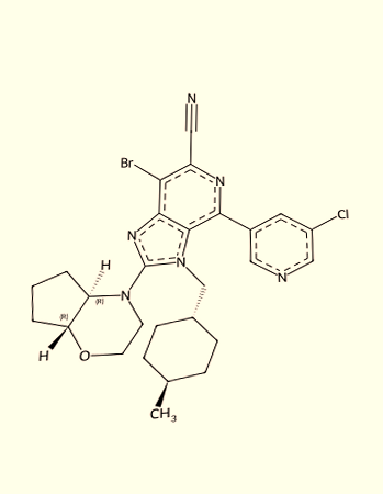 C[C@H]1CC[C@H](Cn2c(N3CCO[C@@H]4CCC[C@H]43)nc3c(Br)c(C#N)nc(-c4cncc(Cl)c4)c32)CC1